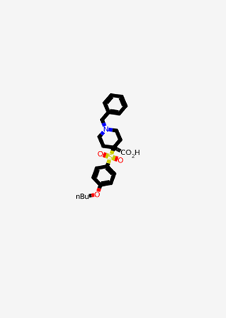 CCCCOc1ccc(S(=O)(=O)C2(C(=O)O)CCN(Cc3ccccc3)CC2)cc1